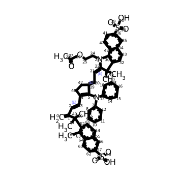 C=C(/C=C/C1=C(N(c2ccccc2)c2ccccc2)C(=C/C=C2/N(CCOC(C)=O)c3c(ccc4cc(S(=O)(=O)O)ccc34)C2(C)C)/CC1)C(C)(C)c1ccc2cc(S(=O)(=O)O)ccc2c1C